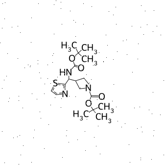 CC(C)(C)OC(=O)NC(c1nccs1)C1CCN(C(=O)OC(C)(C)C)C1